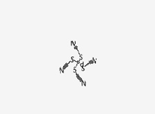 N#C[S][Pd]([S]C#N)([S]C#N)[S]C#N